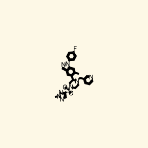 Cc1cc2c(cnn2-c2ccc(F)cc2)cc1C1CN(S(=O)(=O)c2cnn(C)n2)CCN1Cc1cccnc1